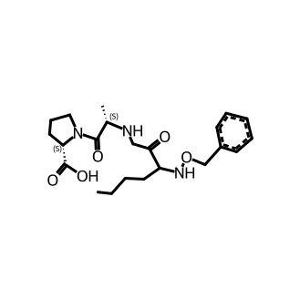 CCCCC(NOCc1ccccc1)C(=O)CN[C@@H](C)C(=O)N1CCC[C@H]1C(=O)O